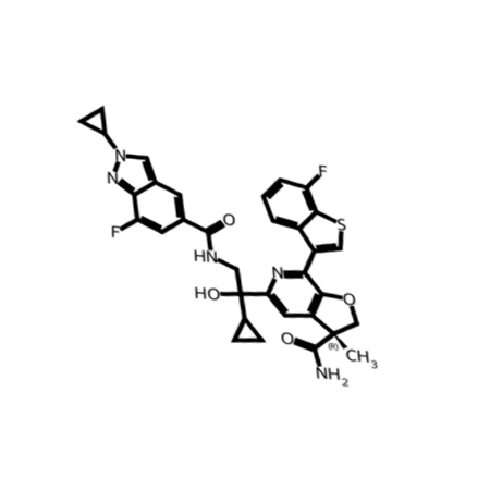 C[C@]1(C(N)=O)COc2c1cc(C(O)(CNC(=O)c1cc(F)c3nn(C4CC4)cc3c1)C1CC1)nc2-c1csc2c(F)cccc12